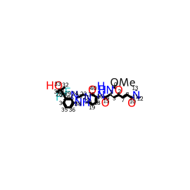 COC(=O)N[C@@H](CC/C=C/C(=O)N(C)C)C(=O)Nc1cccn(Cc2nc3c(C(F)(F)C(C)(C)O)cccc3[nH]2)c1=O